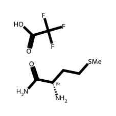 CSCC[C@H](N)C(N)=O.O=C(O)C(F)(F)F